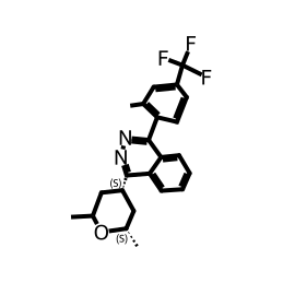 Cc1cc(C(F)(F)F)ccc1-c1nnc([C@H]2CC(C)O[C@@H](C)C2)c2ccccc12